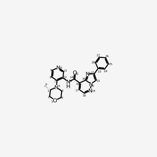 C[C@H]1COCCN1c1ccncc1NC(=O)c1ccnn2cc(-c3ccccc3)nc12